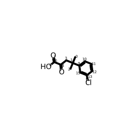 CC(C)(CC(=O)C(=O)O)c1cccc(Cl)c1